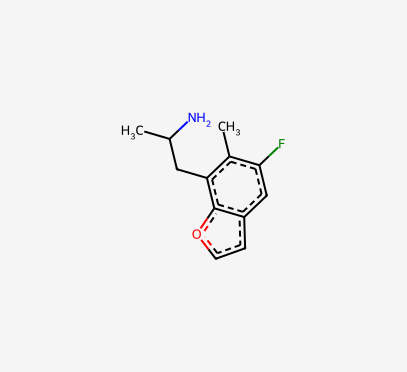 Cc1c(F)cc2ccoc2c1CC(C)N